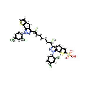 O=S(=O)(O)c1cc2c(s1)-c1c(c(/C(F)=C/CCC/C=C(\F)c3nn(-c4ccc(Cl)cc4Cl)c4c3Cc3ccsc3-4)nn1-c1ccc(Cl)cc1Cl)C2